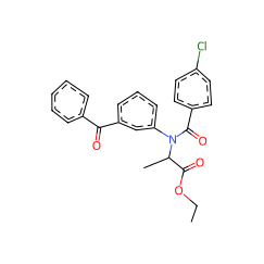 CCOC(=O)C(C)N(C(=O)c1ccc(Cl)cc1)c1cccc(C(=O)c2ccccc2)c1